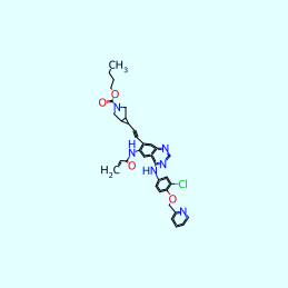 C=CC(=O)Nc1cc2c(Nc3ccc(OCc4ccccn4)c(Cl)c3)ncnc2cc1C#CC1C2CN(C(=O)OCCCC)CC12